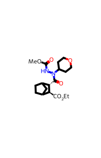 CCOC(=O)[C@H]1C2CCC(C2)[C@@H]1C(=O)N(NC(=O)OC)C1CCOCC1